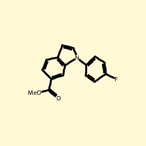 COC(=O)c1ccc2ccn(-c3ccc(F)cc3)c2c1